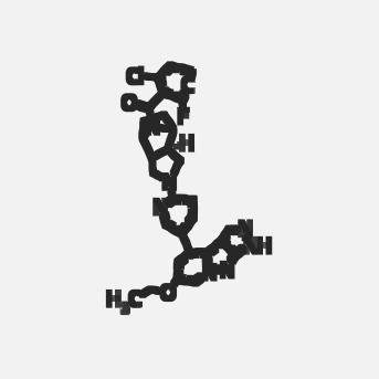 CCOc1cc(-c2ccc(N3CC4C5CCC([C@H]4C3)N5C(=O)c3c(F)cccc3Cl)nc2)c2c3cn[nH]c3nn2c1